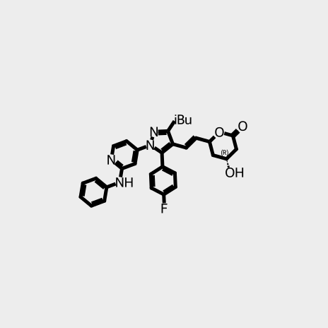 CCC(C)c1nn(-c2ccnc(Nc3ccccc3)c2)c(-c2ccc(F)cc2)c1C=CC1C[C@@H](O)CC(=O)O1